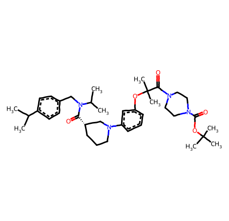 CC(C)c1ccc(CN(C(=O)[C@H]2CCCN(c3cccc(OC(C)(C)C(=O)N4CCN(C(=O)OC(C)(C)C)CC4)c3)C2)C(C)C)cc1